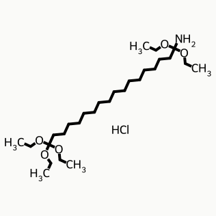 CCOC(N)(CCCCCCCCCCCCCCCCC(OCC)(OCC)OCC)OCC.Cl